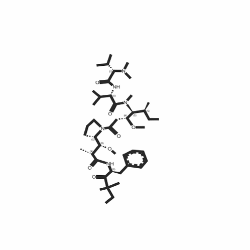 CC[C@H](C)[C@@H]([C@@H](CC(=O)N1CCC[C@H]1[C@H](OC)[C@@H](C)C(=O)N[C@@H](Cc1ccccc1)C(=O)C(C)(C)CC)OC)N(C)C(=O)[C@@H](NC(=O)[C@H](C(C)C)N(C)C)C(C)C